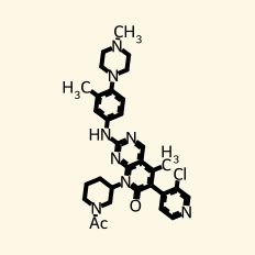 CC(=O)N1CCCC(n2c(=O)c(-c3ccncc3Cl)c(C)c3cnc(Nc4ccc(N5CCN(C)CC5)c(C)c4)nc32)C1